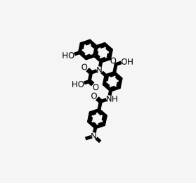 CN(C)c1ccc(C(=O)Nc2ccc(C(=O)O)c(N(C(=O)C(=O)O)c3cccc4ccc(O)cc34)c2)cc1